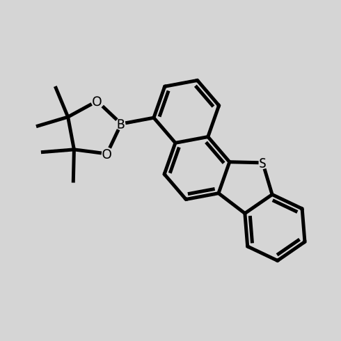 CC1(C)OB(c2cccc3c2ccc2c4ccccc4sc32)OC1(C)C